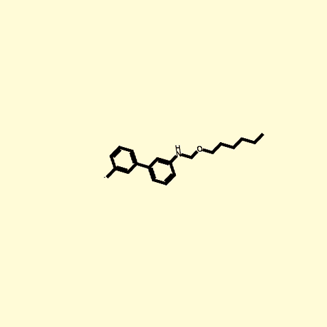 [CH2]c1cccc(-c2cccc(NCOCCCCCC)c2)c1